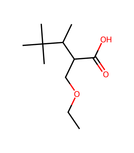 CCOCC(C(=O)O)C(C)C(C)(C)C